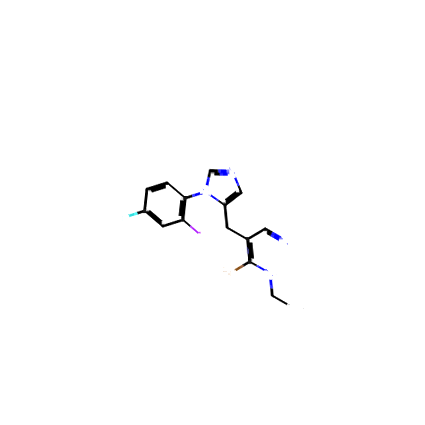 CCN/C(Br)=C(\C=N)Cc1cncn1-c1ccc(F)cc1I